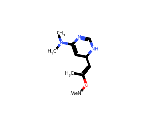 CNO/C(C)=C/C1C=C(N(C)C)N=CN1